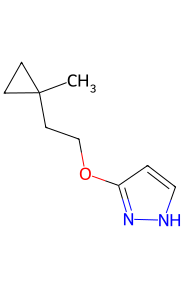 CC1(CCOc2cc[nH]n2)CC1